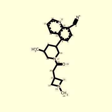 CC1CC(c2ccc(C#N)c3ncccc23)CN(C(=O)CC2CN(C)C2)C1